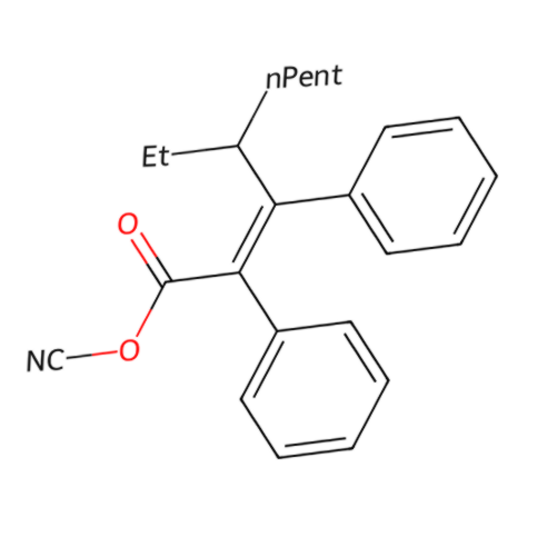 CCCCCC(CC)C(=C(C(=O)OC#N)c1ccccc1)c1ccccc1